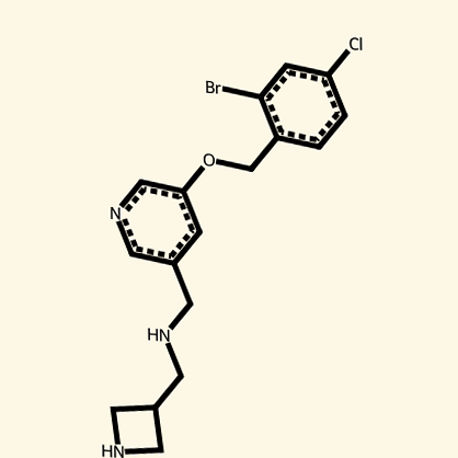 Clc1ccc(COc2cncc(CNCC3CNC3)c2)c(Br)c1